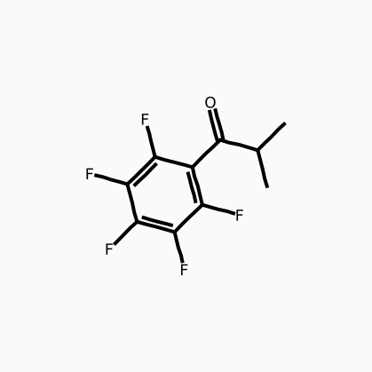 CC(C)C(=O)c1c(F)c(F)c(F)c(F)c1F